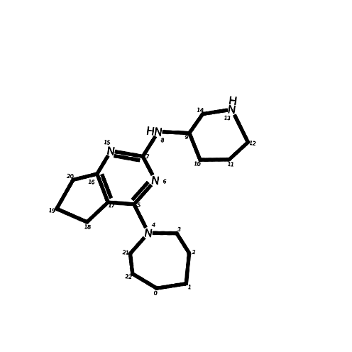 C1CCCN(c2nc(NC3CCCNC3)nc3c2CCC3)CC1